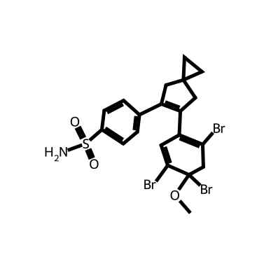 COC1(Br)CC(Br)=C(C2=C(c3ccc(S(N)(=O)=O)cc3)CC3(CC3)C2)C=C1Br